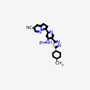 CC(C)Nc1cc(-c2ccc3cc(C#N)cnn23)ncc1-c1nnc([C@H]2CC[C@H](C)CC2)s1